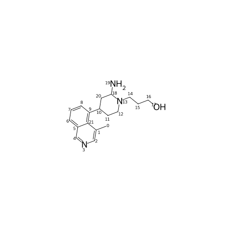 Cc1cncc2cccc(C3CCN(CCCO)C(N)C3)c12